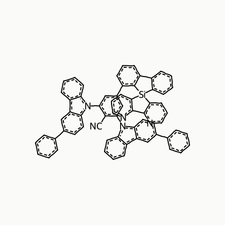 N#Cc1c(-n2c3ccccc3c3cc(-c4ccccc4)ccc32)cc(-c2cccc3c2[Si]2(c4ccccc4-3)c3cccnc3-c3ncccc32)cc1-n1c2ccccc2c2cc(-c3ccccc3)ccc21